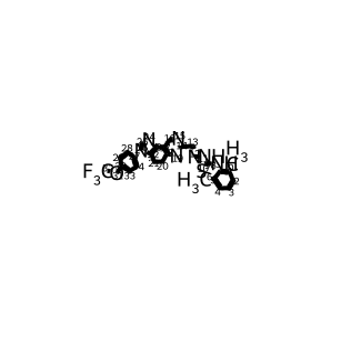 Cc1cccc(C)c1NC(=S)NN=Cc1ncc2c(n1)CCc1c-2ncn1-c1ccc(OC(F)(F)F)cc1